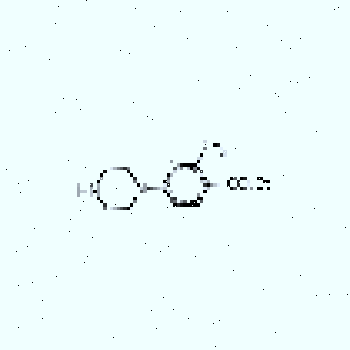 CCOC(=O)c1ccc(N2CCNCC2)nc1C(F)(F)F